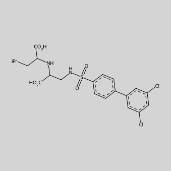 CC(C)CC(NC(CNS(=O)(=O)c1ccc(-c2cc(Cl)cc(Cl)c2)cc1)C(=O)O)C(=O)O